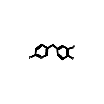 Fc1ccc([CH]c2ccc(F)c(F)c2)cn1